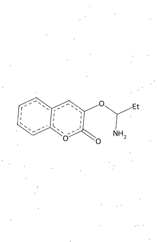 CCC(N)Oc1cc2ccccc2oc1=O